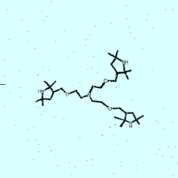 CC1(C)CC(COCCN(CCOCC2CC(C)(C)NC2(C)C)CCOCC2CC(C)(C)NC2(C)C)C(C)(C)N1